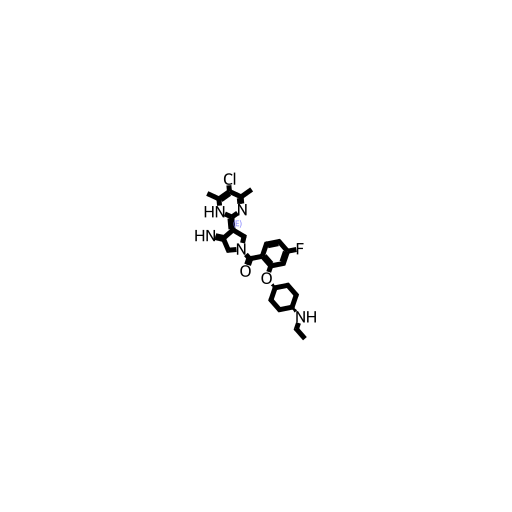 CCN[C@H]1CC[C@@H](Oc2cc(F)ccc2C(=O)N2CC(=N)/C(=C3/N=C(C)C(Cl)=C(C)N3)C2)CC1